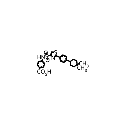 CC1(C)CCC(c2ccc(-c3nc(S(=O)(=O)Nc4ccc(C(=O)O)cc4)cs3)cc2)CC1